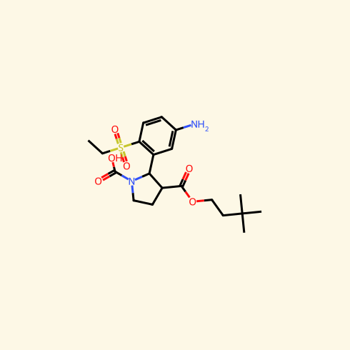 CCS(=O)(=O)c1ccc(N)cc1C1C(C(=O)OCCC(C)(C)C)CCN1C(=O)O